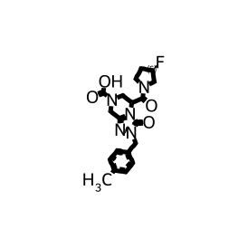 Cc1ccc(Cn2nc3n(c2=O)C(C(=O)N2CC[C@H](F)C2)CN(C(=O)O)C3)cc1